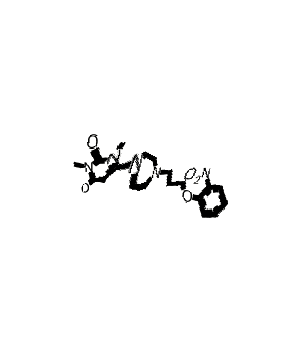 Cn1c(N2CCN(CCCOc3ccccc3[N+](=O)[O-])CC2)cc(=O)n(C)c1=O